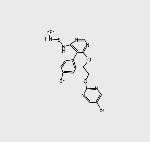 CCCNSNc1ncnc(OCCOc2ncc(Br)cn2)c1-c1ccc(Br)cc1